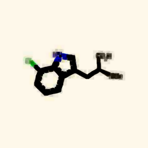 CN[C@@H](Cc1c[nH]c2c(Cl)cccc12)C(=O)O